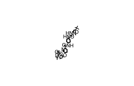 CC(C)[N+]1(OS(C)(=O)=O)CC[C@H](Oc2ccc(C(=O)Nc3ccc(NC(=O)Nc4cc(C(C)(C)C)on4)cc3)nc2)C1